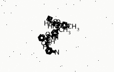 CC(c1ccc(NC(=O)C(NC(=O)C(F)(F)c2cccc(C#N)c2)C2CCCCC2)c(F)c1)C(NC(=O)NC1CCC1)C(=O)N1CCN(C)CC1